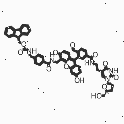 O=Cc1ccc(C(=O)NCCc2cn([C@H]3CC[C@@H](CO)O3)c(=O)[nH]c2=O)cc1-c1c2ccc(=O)c(CNC(=O)c3ccc(CNC(=O)OCC4c5ccccc5-c5ccccc54)cc3)c-2oc2cc(O)ccc12